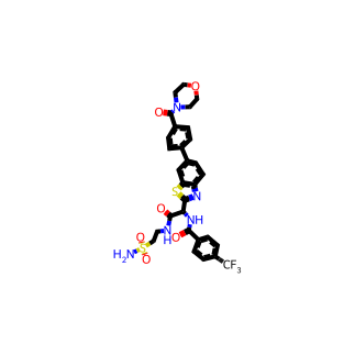 NS(=O)(=O)CCNC(=O)C(NC(=O)c1ccc(C(F)(F)F)cc1)c1nc2ccc(-c3ccc(C(=O)N4CCOCC4)cc3)cc2s1